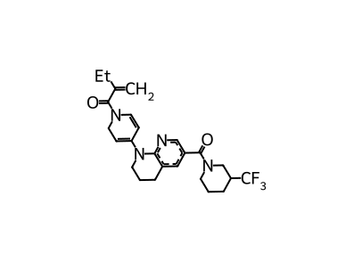 C=C(CC)C(=O)N1C=CC(N2CCCc3cc(C(=O)N4CCCC(C(F)(F)F)C4)cnc32)=CC1